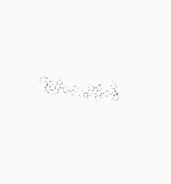 Cc1nc2c(-c3ccc4oc5cc(-c6c7ccccc7c(-c7ccc(-n8c(-c9ccccc9)nc9ccccc98)cc7)c7ccccc67)c6ccccc6c5c4c3)cccc2n1-c1ccc(-c2c3ccccc3c(-c3cc4oc5ccccc5c4c4ccccc34)c3ccccc23)cc1